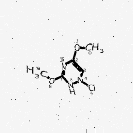 COC1=CN(Cl)NC(OC)=N1